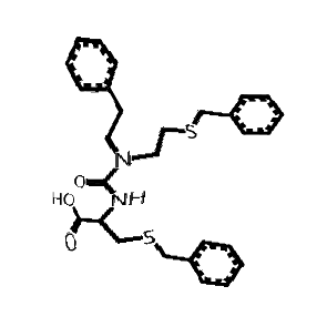 O=C(O)C(CSCc1ccccc1)NC(=O)N(CCSCc1ccccc1)CCc1ccccc1